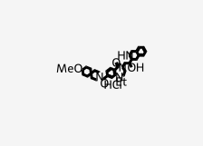 CCN1CCN(CC(O)C2Cc3ccccc3CN2)C(=O)c2ccc(C(=O)N3CCC4(CCC(OC)CC4)CC3)cc21.Cl